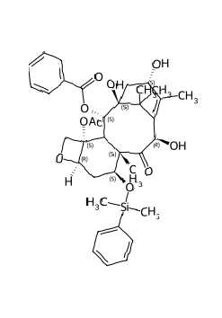 CC(=O)O[C@@]12CO[C@@H]1C[C@H](O[Si](C)(C)c1ccccc1)[C@@]1(C)C(=O)[C@H](O)C3=C(C)[C@@H](O)C[C@@](O)([C@@H](OC(=O)c4ccccc4)C12)C3(C)C